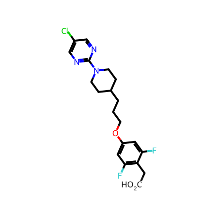 O=C(O)Cc1c(F)cc(OCCCC2CCN(c3ncc(Cl)cn3)CC2)cc1F